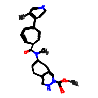 CN(C(=O)C1C=CC=C(c2ccncc2C#N)C=C1)C1CCC2=CNN(C(=O)OC(C)(C)C)C=C2C1